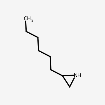 CCCCCCC1[CH]N1